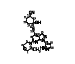 C[C@@H]1COCCN1c1cc(C#CC2(O)CCCC(C#N)C2)c2cnn(-c3ccn[nH]3)c2n1